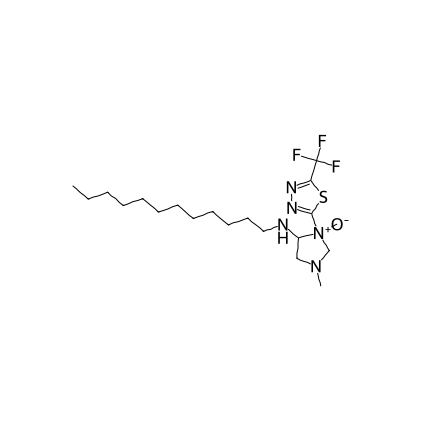 CCCCCCCCCCCCNC1CN(C)C[N+]1([O-])c1nnc(C(F)(F)F)s1